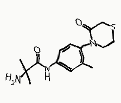 Cc1cc(NC(=O)C(C)(C)N)ccc1N1CCSCC1=O